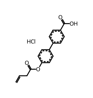 C=CCC(=O)Oc1ccc(-c2ccc(C(=O)O)cc2)cc1.Cl